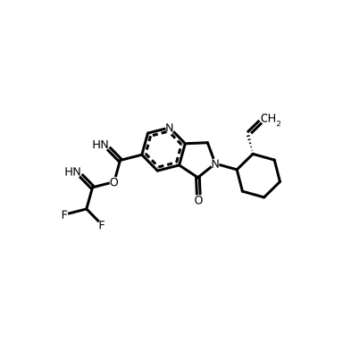 C=C[C@@H]1CCCCC1N1Cc2ncc(C(=N)OC(=N)C(F)F)cc2C1=O